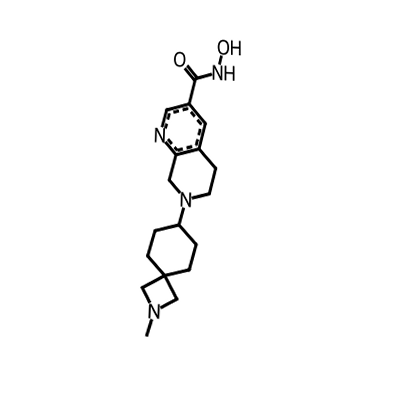 CN1CC2(CCC(N3CCc4cc(C(=O)NO)cnc4C3)CC2)C1